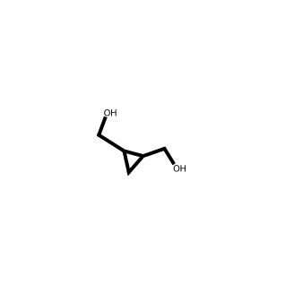 OCC1[CH]C1CO